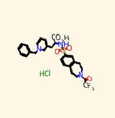 Cl.O=C(O)[C@H](CC1=CCCN(Cc2ccccc2)C1)NS(=O)(=O)c1ccc2c(c1)CCN(C(=O)C(F)(F)F)CC2